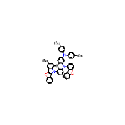 CC(C)(C)c1ccc(N(c2ccc(C(C)(C)C)cc2)c2ccc3c(c2)N(c2cccc4oc5ccccc5c24)c2cc(C(C)(C)C)cc4c2B3c2cc(C(C)(C)C)cc3c5oc6ccccc6c5n-4c23)cc1